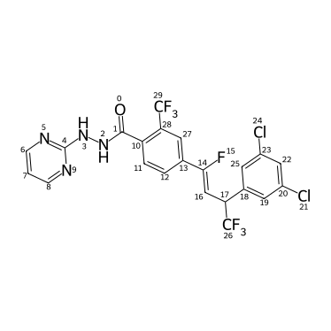 O=C(NNc1ncccn1)c1ccc(C(F)=CC(c2cc(Cl)cc(Cl)c2)C(F)(F)F)cc1C(F)(F)F